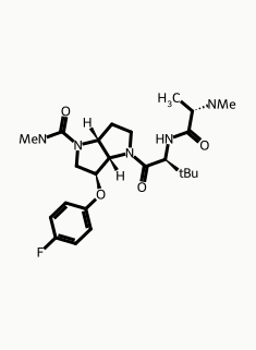 CNC(=O)N1C[C@H](Oc2ccc(F)cc2)[C@@H]2[C@H]1CCN2C(=O)[C@@H](NC(=O)[C@H](C)NC)C(C)(C)C